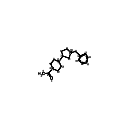 CC(=O)N1CCN(C2CCN(Cc3ccccc3)C2)CC1